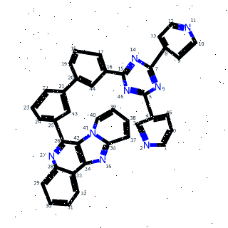 c1cncc(-c2nc(-c3ccncc3)nc(-c3cccc(-c4cccc(-c5nc6ccccc6c6nc7ccccn7c56)c4)c3)n2)c1